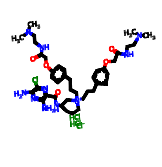 CN(C)CCNC(=O)COc1ccc(CCC[N+]2(CCCc3ccc(OCC(=O)NCCN(C)C)cc3)CCCC(NC(=O)c3nc(Cl)c(N)nc3N)C2)cc1.Cl.Cl.[Cl-]